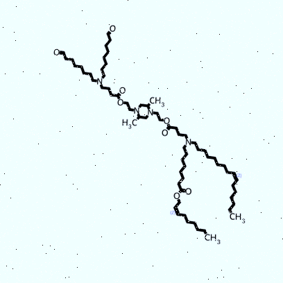 CCCCCC/C=C\CCCCCCCCN(CCCCCCCC(=O)OC/C=C\CCCCCC)CCCC(=O)OCCN1CC(C)N(CCOC(=O)CCCN(CCCCCCCC=O)CCCCCCCC=O)CC1C